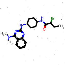 CCC(Br)C(=O)N[C@H]1CC[C@@H](Nc2nc(N(C)C)c3ccccc3n2)CC1